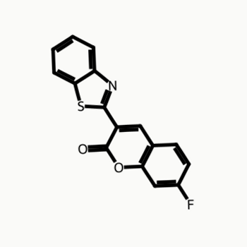 O=c1oc2cc(F)ccc2cc1-c1nc2ccccc2s1